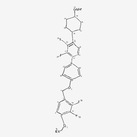 CCOc1ccc(COc2ccc(-c3ccc(C4CCC(OC)CC4)c(F)c3F)cc2)c(F)c1F